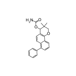 CC1(C)COc2c(ccc3c(-c4ccccc4)cccc23)C1OC(N)=O